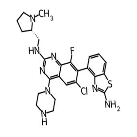 CN1CCC[C@H]1CNc1nc(N2CCNCC2)c2cc(Cl)c(-c3cccc4sc(N)nc34)c(F)c2n1